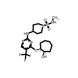 CNS(=O)(=O)N1CCC(Nc2ncc(C(F)(F)F)c(O[C@H]3CCCCC[C@H]3O)n2)CC1